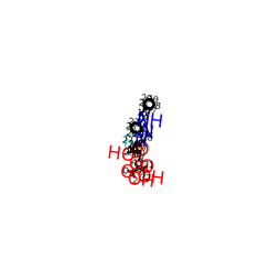 O=C(O)C(OC[C@H]1O[C@@H](n2cnc3c(NCc4ccccc4)cccc32)[C@@H](F)[C@@H]1O)C(=O)O